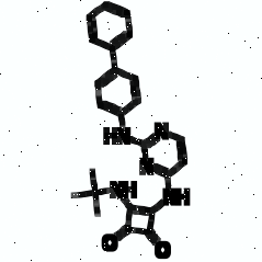 CC(C)(C)Nc1c(Nc2ccnc(Nc3ccc(-c4ccccc4)cc3)n2)c(=O)c1=O